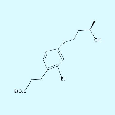 CCOC(=O)CCc1ccc(SCC[C@@H](C)O)cc1CC